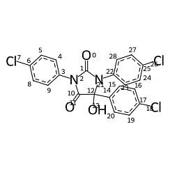 O=C1N(c2ccc(Cl)cc2)C(=O)C(O)(c2ccc(Cl)cc2)N1c1ccc(Cl)cc1